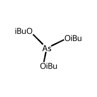 CC(C)CO[As](OCC(C)C)OCC(C)C